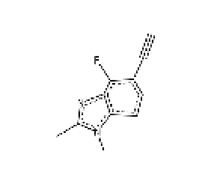 C#Cc1ccc2c(nc(C)n2C)c1F